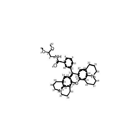 COC(CNC(=O)c1cccc(C2=c3cc4c5c(c3Oc3c2cc2c6c3CCCN6CCC2)CCC[N+]=5CCC4)c1)OC